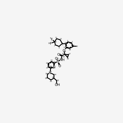 Cc1ccc(C2CCC(F)(F)CC2)c(OC2(C(=O)NS(=O)(=O)c3cccc(N4CCCC(CO)C4)n3)CC2)c1